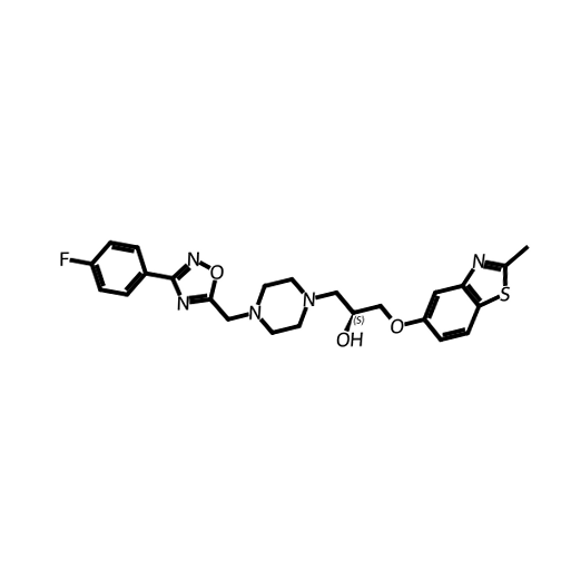 Cc1nc2cc(OC[C@@H](O)CN3CCN(Cc4nc(-c5ccc(F)cc5)no4)CC3)ccc2s1